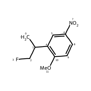 [CH2]C(CF)c1cc([N+](=O)[O-])ccc1OC